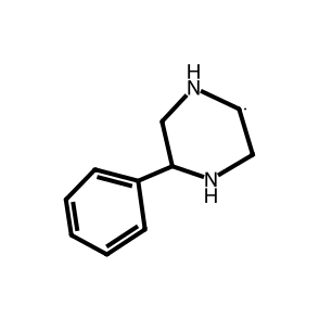 [CH]1CNC(c2ccccc2)CN1